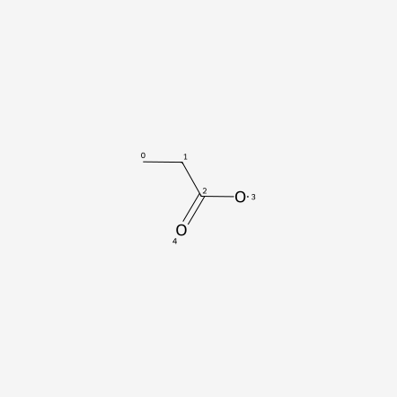 CCC([O])=O